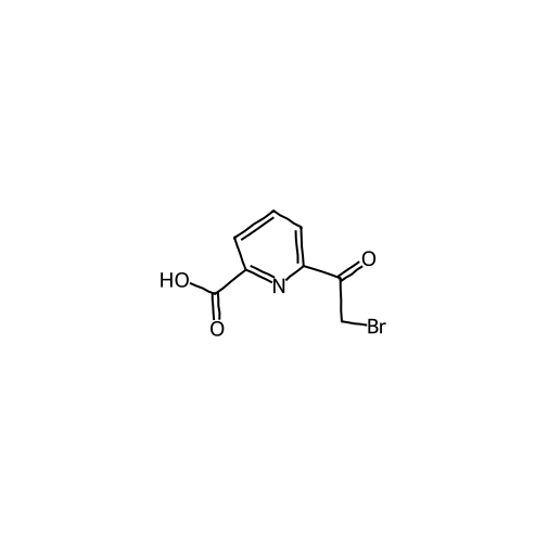 O=C(O)c1cccc(C(=O)CBr)n1